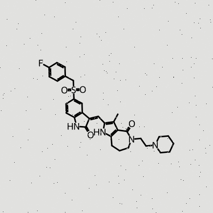 Cc1c(C=C2C(=O)Nc3ccc(S(=O)(=O)Cc4ccc(F)cc4)cc32)[nH]c2c1C(=O)N(CCN1CCCCC1)CCC2